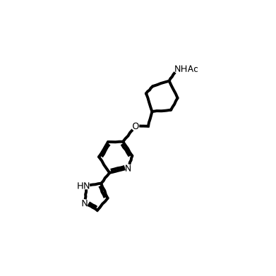 CC(=O)NC1CCC(COc2ccc(-c3ccn[nH]3)nc2)CC1